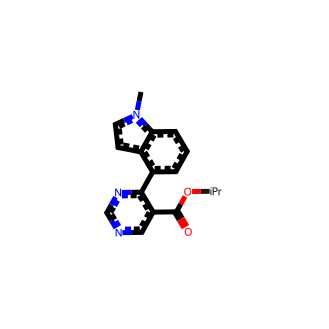 CC(C)OC(=O)c1cncnc1-c1cccc2c1ccn2C